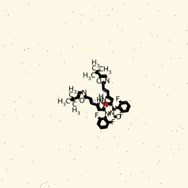 CC(C)(C)c1cnc(/C=C/c2cc(N(c3c(F)cccc3F)N(C=O)N(c3cc(/C=C/c4ncc(C(C)(C)C)o4)[nH]n3)c3c(F)cccc3F)n[nH]2)o1